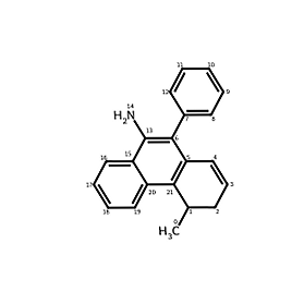 CC1CC=Cc2c(-c3ccccc3)c(N)c3ccccc3c21